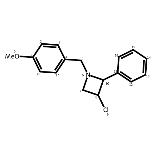 COc1ccc(CN2CC(Cl)C2c2ccccc2)cc1